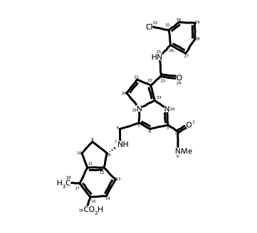 CNC(=O)c1cc(CN[C@H]2CCc3c2ccc(C(=O)O)c3C)n2ccc(C(=O)Nc3ccccc3Cl)c2n1